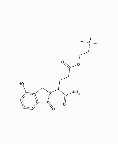 C[Si](C)(C)CCOC(=O)CCC(C(N)=O)N1Cc2c(O)cccc2C1=O